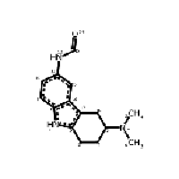 CN(C)C1CCc2[nH]c3ccc(NC=O)cc3c2C1